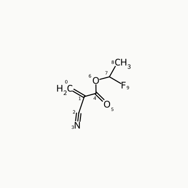 C=C(C#N)C(=O)OC(C)F